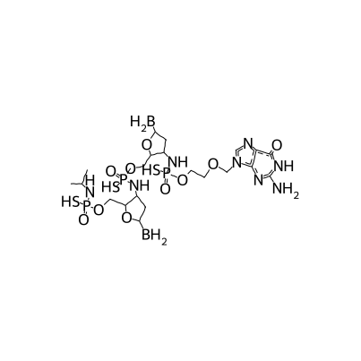 BC1CC(NP(=O)(S)OCC2OC(B)CC2NP(=O)(S)OCCOCn2cnc3c(=O)[nH]c(N)nc32)C(COP(=O)(S)NC(C)C)O1